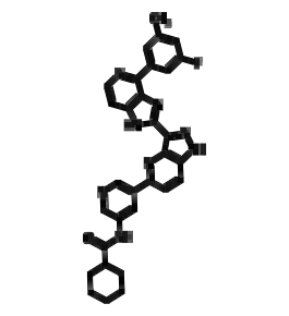 Cc1cc(F)cc(-c2nccc3[nH]c(-c4n[nH]c5ccc(-c6cncc(NC(=O)C7CCCCC7)c6)nc45)nc23)c1